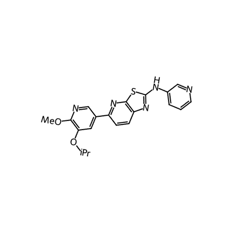 COc1ncc(-c2ccc3nc(Nc4cccnc4)sc3n2)cc1OC(C)C